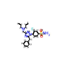 C=CCN(CC=C)Cc1nc(Cc2ccccc2)n(-c2ccc(S(N)(=O)=O)cc2F)n1